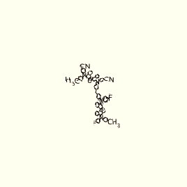 Cc1ccc(N(c2ccc(F)cc2)c2cc3oc4cc(N(c5ccc(F)cc5)c5ccc(Cc6ccc(N(c7ccc(C#N)cc7)c7cc8oc9cc(N(c%10ccc(C)cc%10)c%10ccc(C#N)cc%10)c%10ccccc%10c9c8c8ccccc78)cc6)cc5)c5ccccc5c4c3c3ccccc23)cc1